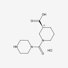 Cl.O=C(O)[C@H]1CCCN(C(=O)N2CCNCC2)C1